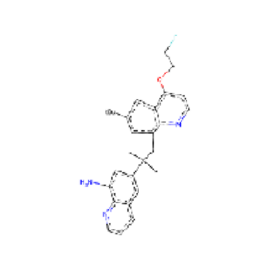 CC(C)(C)c1cc(CC(C)(C)c2cc(N)c3ncccc3c2)c2nccc(OCCF)c2c1